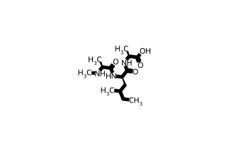 CCC(C)C[C@@H](NC(=O)[C@H](C)NC)C(=O)N[C@@H](C)C(=O)O